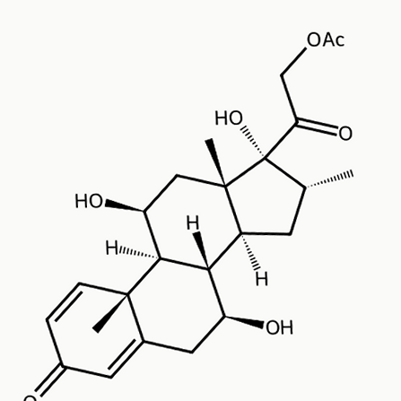 CC(=O)OCC(=O)[C@@]1(O)[C@H](C)C[C@H]2[C@H]3[C@H]([C@@H](O)C[C@@]21C)[C@@]1(C)C=CC(=O)C=C1C[C@@H]3O